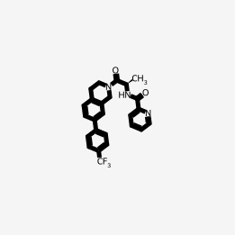 C[C@H](NC(=O)c1ccccn1)C(=O)N1CCc2ccc(-c3ccc(C(F)(F)F)cc3)cc2C1